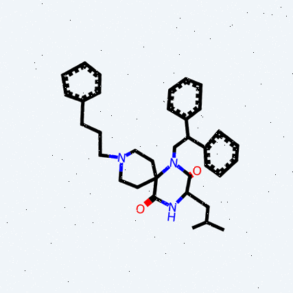 CC(C)CC1NC(=O)C2(CCN(CCCc3ccccc3)CC2)N(CC(c2ccccc2)c2ccccc2)C1=O